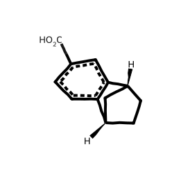 O=C(O)c1ccc2c(c1)[C@@H]1CC[C@H]2C1